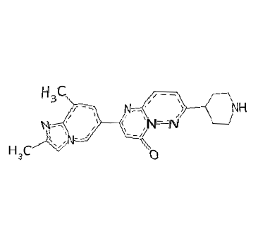 Cc1cn2cc(-c3cc(=O)n4nc(C5CCNCC5)ccc4n3)cc(C)c2n1